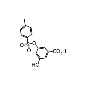 Cc1ccc(S(=O)(=O)Oc2cc(O)cc(C(=O)O)c2)cc1